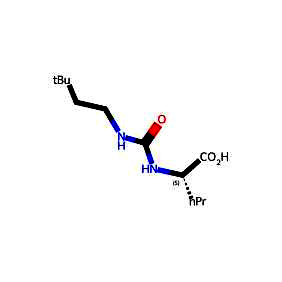 CCC[C@H](NC(=O)NCCC(C)(C)C)C(=O)O